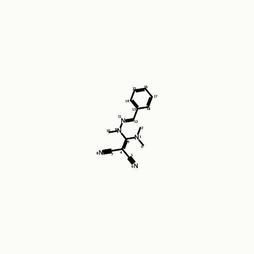 CN(C)C(=C(C#N)C#N)N(C)N=Cc1ccccc1